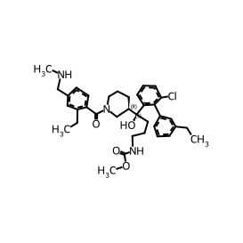 CCc1cccc(-c2c(Cl)cccc2[C@](O)(CCCNC(=O)OC)[C@@H]2CCCN(C(=O)c3ccc(CNC)cc3CC)C2)c1